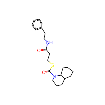 O=C(CCSC(=O)N1CCCC2CCCCC21)NCCc1ccccc1